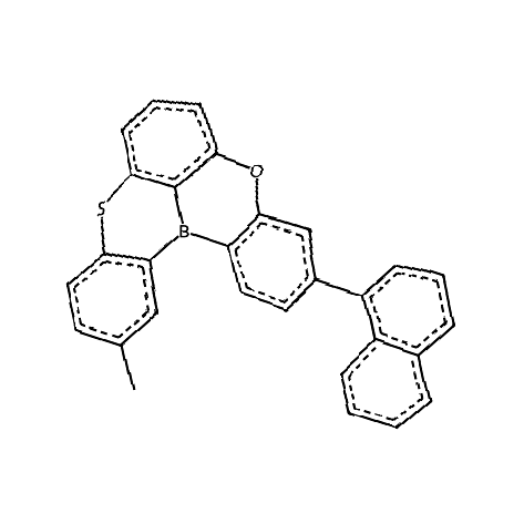 Cc1ccc2c(c1)B1c3ccc(-c4cccc5ccccc45)cc3Oc3cccc(c31)S2